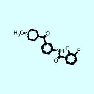 CN1CCC(C(=O)c2cccc(NC(=O)c3cccc(F)c3F)c2)CC1